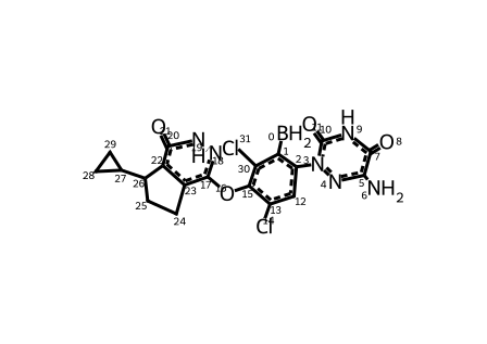 Bc1c(-n2nc(N)c(=O)[nH]c2=O)cc(Cl)c(Oc2n[nH]c(=O)c3c2CCC3C2CC2)c1Cl